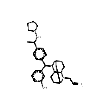 C=CCN1C2CCC3C1CCC2N3C(c1ccc(C(=O)NN2CCCC2)cc1)c1cccc(O)c1